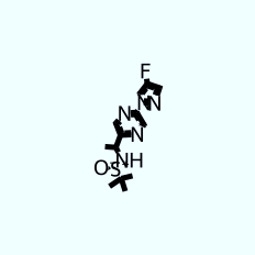 CC(N[S@+]([O-])C(C)(C)C)c1cnc(-n2cc(F)cn2)cn1